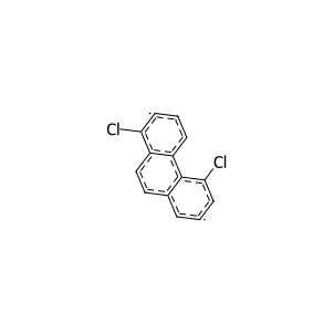 Clc1[c]ccc2c1ccc1c[c]cc(Cl)c12